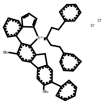 CC(C)(C)c1cc2c(cc1-c1ccccc1)Cc1c-2cc(C(C)(C)C)c(-c2ccccc2)[c]1[Zr+2]([C]1=CC=CC1)=[C](CCc1ccccc1)CCc1ccccc1.[Cl-].[Cl-]